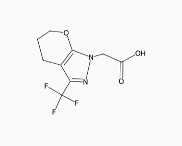 O=C(O)Cn1nc(C(F)(F)F)c2c1OCCC2